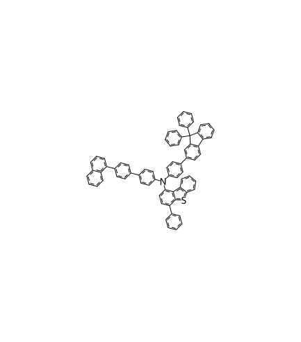 c1ccc(-c2ccc(N(c3ccc(-c4ccc(-c5cccc6ccccc56)cc4)cc3)c3ccc(-c4ccc5c(c4)C(c4ccccc4)(c4ccccc4)c4ccccc4-5)cc3)c3c2sc2ccccc23)cc1